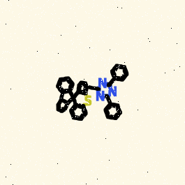 C1=CC2c3ccccc3C3(c4ccccc4Sc4c(-c5nc(-c6ccccc6)nc(-c6ccccc6)n5)cccc43)C2C=C1